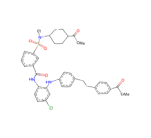 CCN(C1CCC(C(=O)OC)CC1)S(=O)(=O)c1cccc(C(=O)Nc2ccc(Cl)cc2Nc2ccc(CCc3ccc(C(=O)OC)cc3)cc2)c1